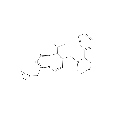 FC(F)c1c(CN2CCOCC2c2ccccc2)ccn2c(CC3CC3)nnc12